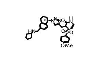 COc1ccc(S(=O)(=O)N2C=CNC(=O)C2Cc2cn([C@@H]3CCCc4cc(CNC5CCCC5)ccc43)nn2)cc1